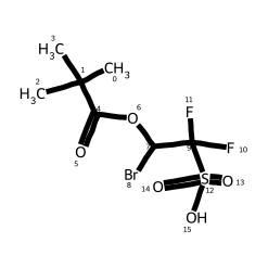 CC(C)(C)C(=O)OC(Br)C(F)(F)S(=O)(=O)O